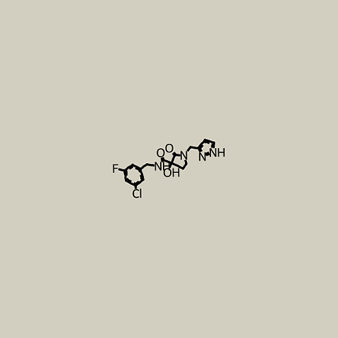 O=C(NCc1cc(F)cc(Cl)c1)C1(O)CCN(Cc2cc[nH]n2)C1=O